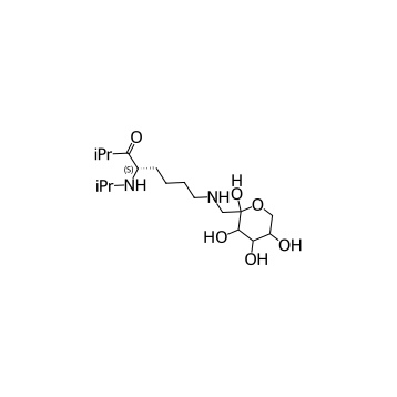 CC(C)N[C@@H](CCCCNCC1(O)OCC(O)C(O)C1O)C(=O)C(C)C